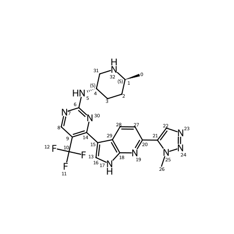 C[C@H]1CC[C@H](Nc2ncc(C(F)(F)F)c(-c3c[nH]c4nc(-c5cnnn5C)ccc34)n2)CN1